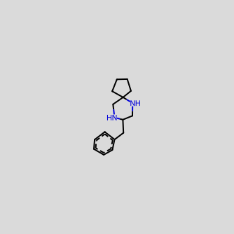 c1ccc(CC2CNC3(CCCC3)CN2)cc1